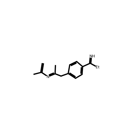 C=C(C)/N=C(\C)Cc1ccc(C(=N)CC)cc1